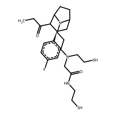 CCC(=O)C1C2CCC(C[C@H]1c1ccc(F)cc1)N2CCCN(CCS)CC(=O)NCCS